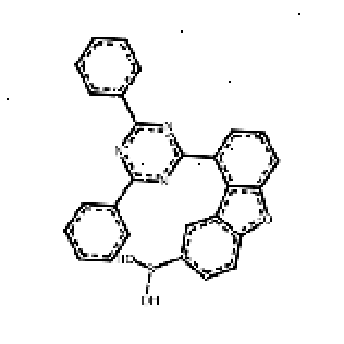 OB(O)c1ccc2oc3cccc(-c4nc(-c5ccccc5)nc(-c5ccccc5)n4)c3c2c1